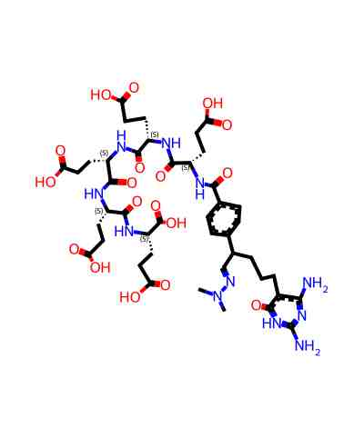 CN(C)N=CC(CCCc1c(N)nc(N)[nH]c1=O)c1ccc(C(=O)N[C@@H](CCC(=O)O)C(=O)N[C@@H](CCC(=O)O)C(=O)N[C@@H](CCC(=O)O)C(=O)N[C@@H](CCC(=O)O)C(=O)N[C@@H](CCC(=O)O)C(=O)O)cc1